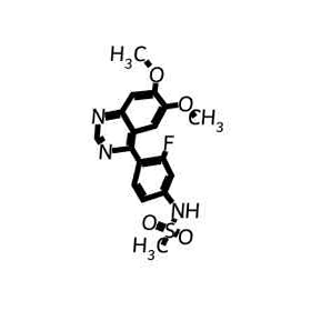 COc1cc2ncnc(-c3ccc(NS(C)(=O)=O)cc3F)c2cc1OC